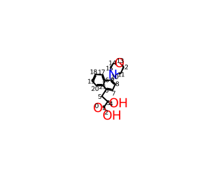 O=C(O)C(O)Cc1ccc(N2CCOCC2)c2ccccc12